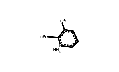 CCCc1cccnc1CCC.N